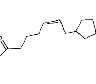 NC(=O)CCC/C=C\CC1CCCC1